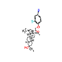 C[C@@H]1C[C@H](C(=O)COc2ccc(C#N)cc2F)[C@@]2(C)CC[C@H]3[C@@H](CC[C@@H]4C[C@](C)(O)CC[C@@H]43)[C@H]12